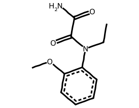 CCN(C(=O)C(N)=O)c1ccccc1OC